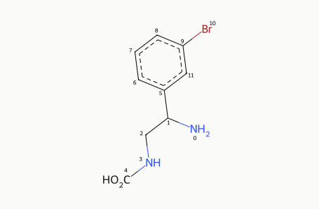 NC(CNC(=O)O)c1cccc(Br)c1